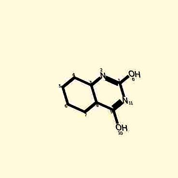 OC1=NC2CCCCC2C(O)=N1